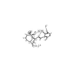 Nc1c(F)ccc(F)c1CCC1CN(C(=O)O)C2CCCS(=O)(=O)N1C2